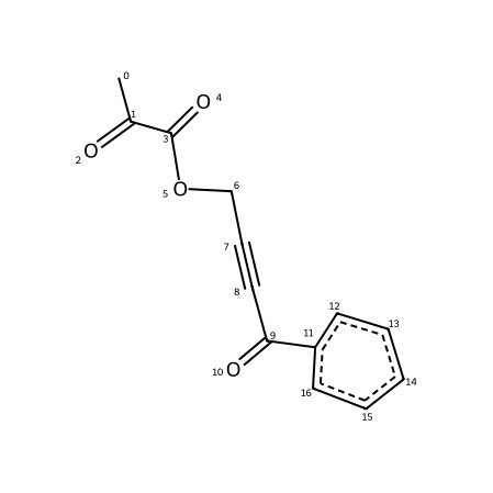 CC(=O)C(=O)OCC#CC(=O)c1ccccc1